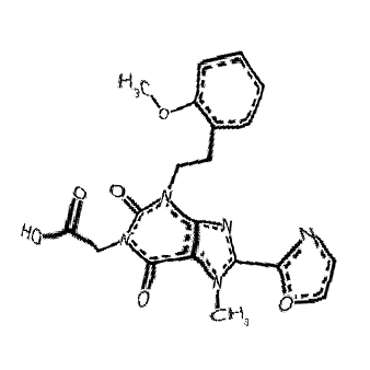 COc1ccccc1CCn1c(=O)n(CC(=O)O)c(=O)c2c1nc(-c1ncco1)n2C